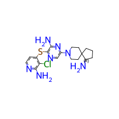 Nc1nc(N2CCC3(CCC[C@H]3N)CC2)cnc1Sc1ccnc(N)c1Cl